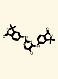 CC1(C)OC(=O)c2ccc(Nc3ncc(Cl)c(Nc4ccc5c(c4)C(C)(C)OC5=O)n3)cc21